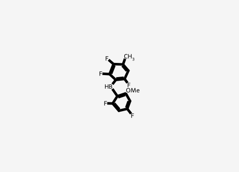 COc1cc(F)cc(F)c1Bc1c(F)cc(C)c(F)c1F